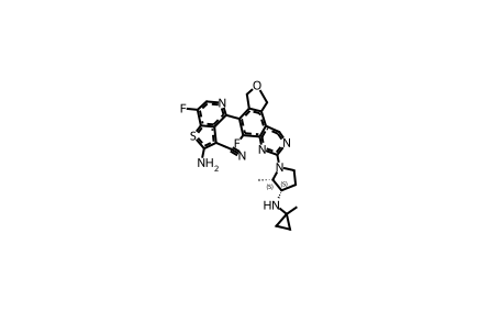 C[C@H]1[C@@H](NC2(C)CC2)CCN1c1ncc2c3c(c(-c4ncc(F)c5sc(N)c(C#N)c45)c(F)c2n1)COC3